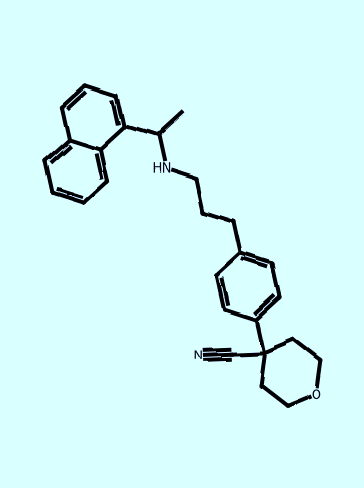 CC(NCCCc1ccc(C2(C#N)CCOCC2)cc1)c1cccc2ccccc12